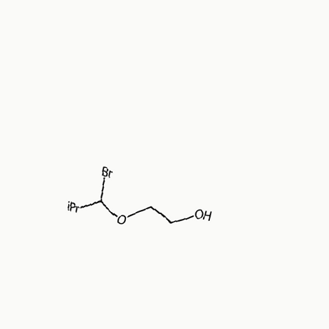 CC(C)C(Br)OCCO